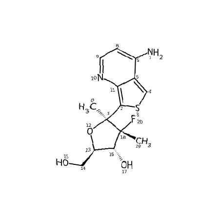 C[C@@]1(c2scc3c(N)ccnc23)O[C@H](CO)[C@@H](O)[C@@]1(C)F